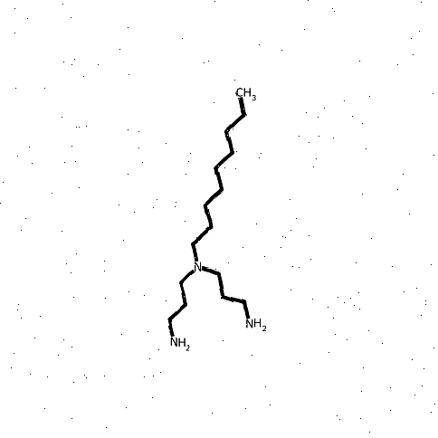 CCCCCCCCCN(CCCN)CCCN